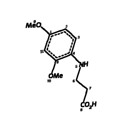 COc1ccc(NCCC(=O)O)c(OC)c1